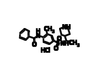 Cc1cc(S(=O)(=O)N[C@H](C)C2CCNCC2)ccc1NC(=O)c1ccccc1.Cl